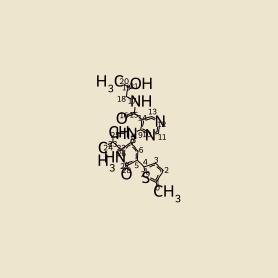 Cc1ccc(-c2cc(Nc3ncncc3C(=O)NCC(C)O)c(C(C)C)[nH]c2=O)s1